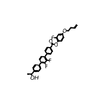 C=CCCOc1ccc(OC(=O)c2ccc(-c3ccc(-c4ccc(C(C)O)cc4)c(F)c3F)cc2)c(F)c1